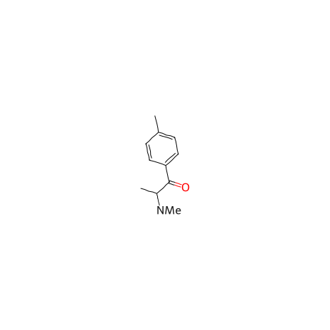 CNC(C)C(=O)c1ccc(C)cc1